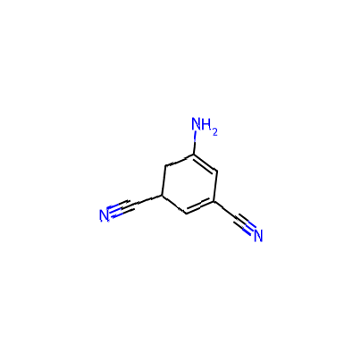 N#CC1=CC(C#N)CC(N)=C1